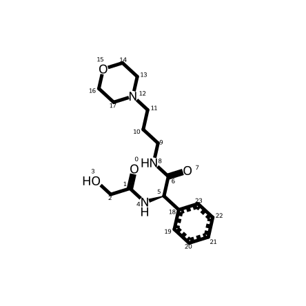 O=C(CO)N[C@@H](C(=O)NCCCN1CCOCC1)c1ccccc1